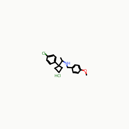 COc1ccc(CNC(C)C2(c3ccc(Cl)cc3)CCC2)cc1.Cl